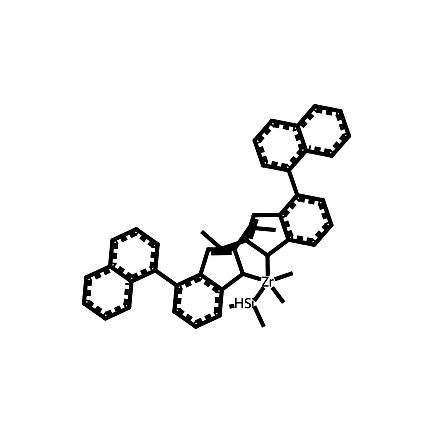 CCC1=Cc2c(-c3cccc4ccccc34)cccc2[CH]1[Zr]([CH3])([CH3])([CH]1C(CC)=Cc2c(-c3cccc4ccccc34)cccc21)[SiH](C)C